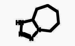 C1CCC2NN=NN2CC1